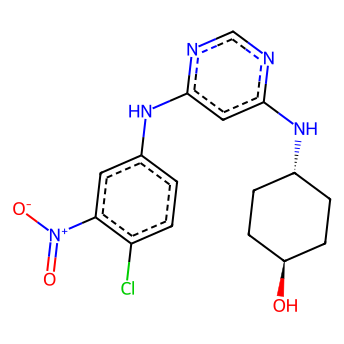 O=[N+]([O-])c1cc(Nc2cc(N[C@H]3CC[C@H](O)CC3)ncn2)ccc1Cl